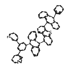 c1ccc(-c2c3ccccc3c(-c3cccc4c3sc3cccc(-c5c6ccccc6c(-c6cc(-c7cccnc7)cc(-c7cccnc7)c6)c6ccccc56)c34)c3ccccc23)cc1